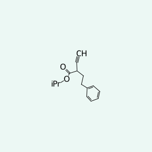 C#CC(CCc1ccccc1)C(=O)OC(C)C